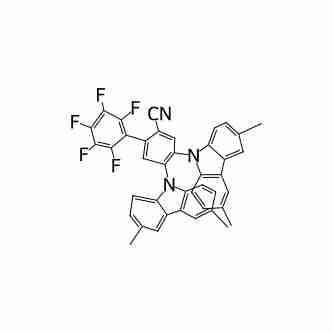 Cc1ccc2c(c1)c1cc(C)ccc1n2-c1cc(C#N)c(-c2c(F)c(F)c(F)c(F)c2F)cc1-n1c2ccc(C)cc2c2cc(C)ccc21